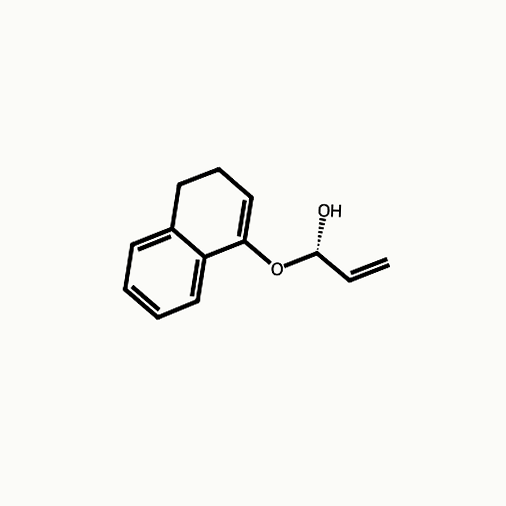 C=C[C@@H](O)OC1=CCCc2ccccc21